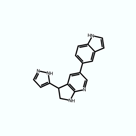 c1cc(C2CNc3ncc(-c4ccc5[nH]ccc5c4)cc32)[nH]n1